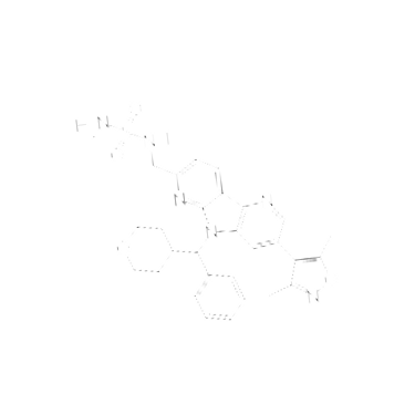 Cc1noc(C)c1-c1cnc2c3ccc(CNS(N)(=O)=O)nc3n(C(c3ccccc3)C3CCOCC3)c2c1